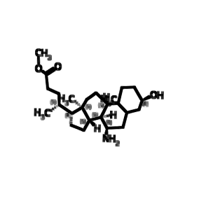 COC(=O)CC[C@@H](C)[C@H]1CC[C@H]2[C@@H]3[C@H](N)CC4C[C@H](O)CCC4(C)[C@H]3CC[C@]12C